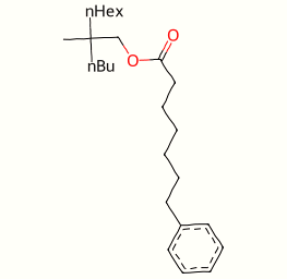 CCCCCCC(C)(CCCC)COC(=O)CCCCCCc1ccccc1